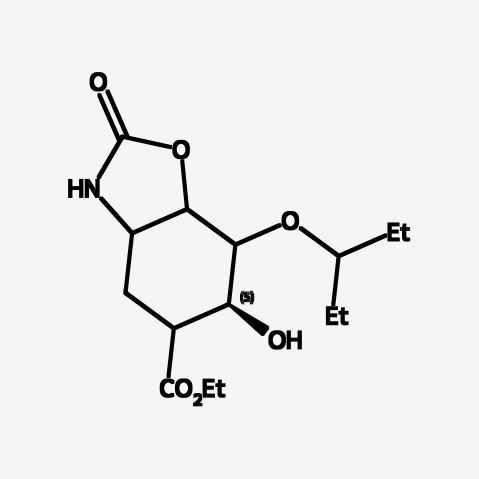 CCOC(=O)C1CC2NC(=O)OC2C(OC(CC)CC)[C@H]1O